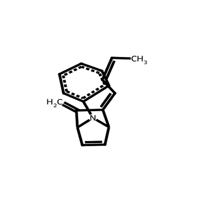 C=C1/C(=C\C=C/C)C2C=CC1N2c1ccccc1